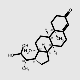 C[C@H](C(O)O)[C@H]1CC[C@H]2[C@@H]3CCC4=CC(=O)CC[C@]4(C)[C@@H]3CC[C@]12C